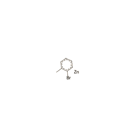 Cc1ccccc1Br.[Zn]